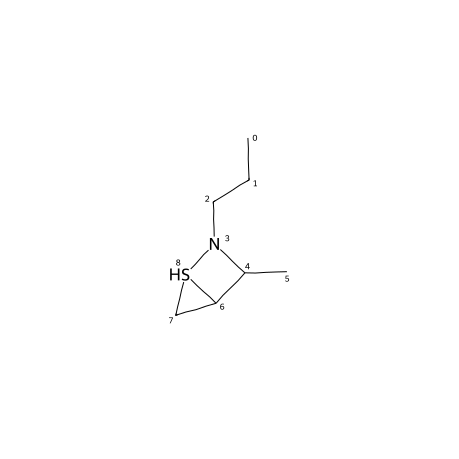 CCCN1C(C)C2C[SH]21